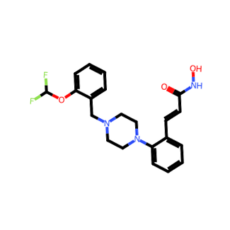 O=C(C=Cc1ccccc1N1CCN(Cc2ccccc2OC(F)F)CC1)NO